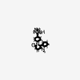 Cn1c2ccccc2c2c1ccc(=O)n2C1=CC=C(c2nnn[nH]2)CC1